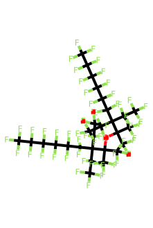 FC(F)(F)C(F)(F)C(F)(F)C(F)(F)C(F)(F)C(F)(F)C(C(F)(F)C(F)(F)F)(C(F)(F)C(F)(F)F)C(OC(C(F)(F)F)(C(F)(F)F)C(C(F)(F)C(F)(F)F)(C(F)(F)C(F)(F)F)C(F)(F)C(F)(F)C(F)(F)C(F)(F)C(F)(F)C(F)(F)F)(C(F)(F)F)C(F)(F)F